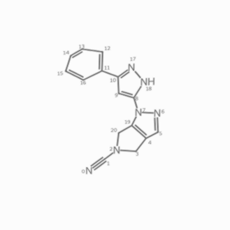 N#CN1Cc2cnn(-c3cc(-c4ccccc4)n[nH]3)c2C1